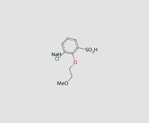 COCCOc1c(Cl)cccc1S(=O)(=O)O.[NaH]